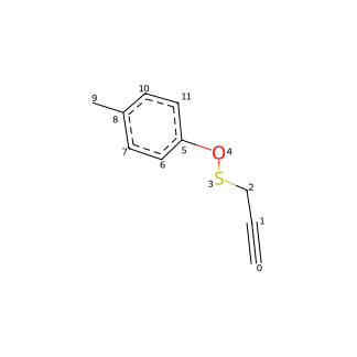 C#CCSOc1ccc(C)cc1